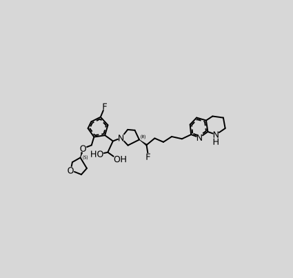 OC(O)C(c1cc(F)ccc1CO[C@H]1CCOC1)N1CC[C@@H](C(F)CCCCc2ccc3c(n2)NCCC3)C1